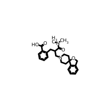 CN(C)C(=O)C(Cc1ccccc1C(=O)O)CN1CCC2(CC1)OCc1ccccc12